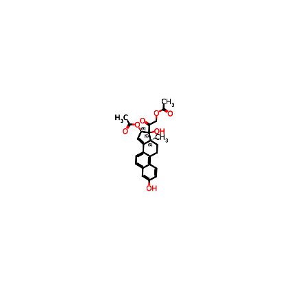 CC(=O)OCC(=O)[C@@]1(O)[C@H](OC(C)=O)C=C2c3ccc4cc(O)ccc4c3CC[C@@]21C